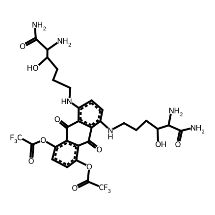 NC(=O)C(N)C(O)CCCNc1ccc(NCCCC(O)C(N)C(N)=O)c2c1C(=O)c1c(OC(=O)C(F)(F)F)ccc(OC(=O)C(F)(F)F)c1C2=O